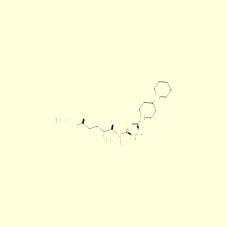 COC(=O)CC[C@H](O)C(=O)Nc1nnc(N2CCC(N3CCCCC3)CC2)s1